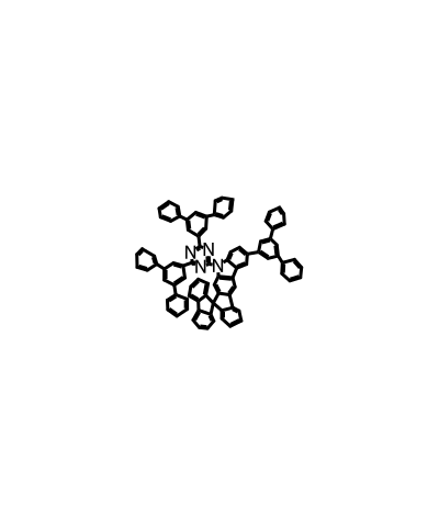 c1ccc(-c2cc(-c3ccccc3)cc(-c3ccc4c(c3)c3cc5c(cc3n4-c3nc(-c4cc(-c6ccccc6)cc(-c6ccccc6)c4)nc(-c4cc(-c6ccccc6)cc(-c6ccccc6)c4)n3)C3(c4ccccc4-c4ccccc43)c3ccccc3-5)c2)cc1